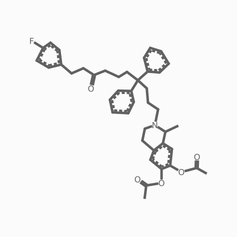 CC(=O)Oc1cc2c(cc1OC(C)=O)C(C)N(CCCC(CCCC(=O)CCc1ccc(F)cc1)(c1ccccc1)c1ccccc1)CC2